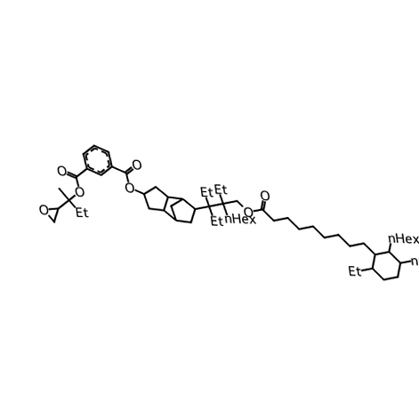 CCCCCCCCC1CCC(CC)C(CCCCCCCCC(=O)OCC(CC)(CCCCCC)C(CC)(CC)C2CC3CC2C2CC(OC(=O)c4cccc(C(=O)OC(C)(CC)C5CO5)c4)CC32)C1CCCCCC